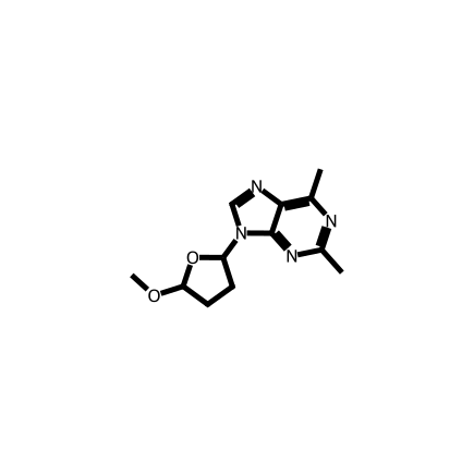 COC1CCC(n2cnc3c(C)nc(C)nc32)O1